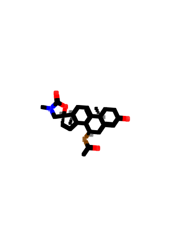 CC(=O)S[C@@H]1CC2=CC(=O)CC[C@]2(C)C2=CC[C@@]3(C)C(CC[C@@]34CN(C)C(=O)O4)C21